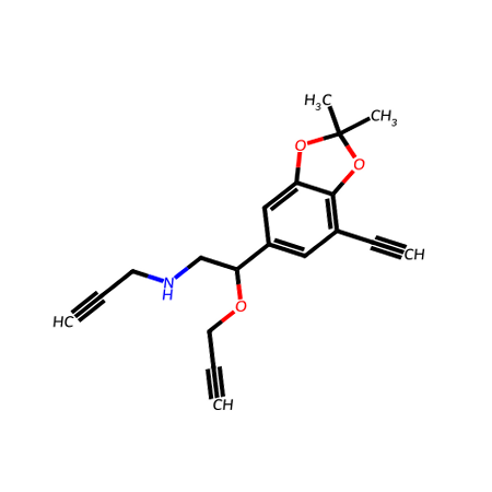 C#CCNCC(OCC#C)c1cc(C#C)c2c(c1)OC(C)(C)O2